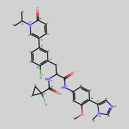 COc1cc(NC(=O)C(Cc2cc(-c3ccc(=O)n(C(C)C)c3)ccc2Cl)NC(=O)C2(F)CC2)ccc1-c1cncn1C